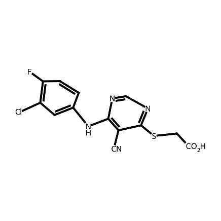 N#Cc1c(Nc2ccc(F)c(Cl)c2)ncnc1SCC(=O)O